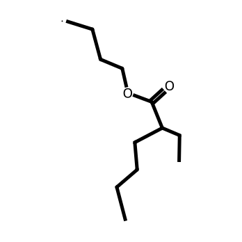 [CH2]CCCOC(=O)C(CC)CCCC